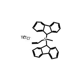 C=CC[Si](C)(C1c2ccccc2-c2ccccc21)C1c2ccccc2-c2ccccc21.[Cl-].[Cl-].[Ti+2]